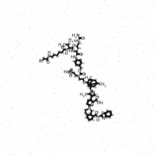 Cc1c(-c2ccc(N3CCc4cccc(C(=O)Nc5nc6ccccc6s5)c4C3)nc2C(=O)O)cnn1CC12CC3(C)CC(C)(C1)CC(OCCN(CCS(=O)(=O)O)C(=O)OCc1ccc(NC(=O)[C@H](CCCNC(N)=O)NC(=O)C(NC(=O)CCCCCNC(=O)CBr)C(C)C)cc1)(C3)C2